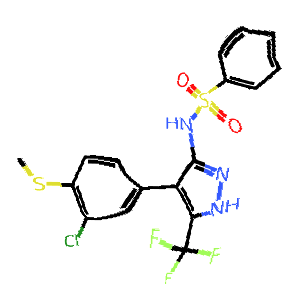 CSc1ccc(-c2c(NS(=O)(=O)c3ccccc3)n[nH]c2C(F)(F)F)cc1Cl